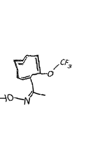 C/C(=N/O)c1ccccc1OC(F)(F)F